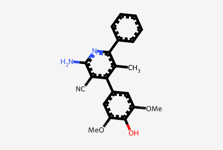 COc1cc(-c2c(C)c(-c3ccccc3)nc(N)c2C#N)cc(OC)c1O